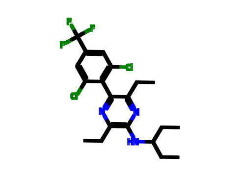 CCc1nc(-c2c(Cl)cc(C(F)(F)F)cc2Cl)c(CC)nc1NC(CC)CC